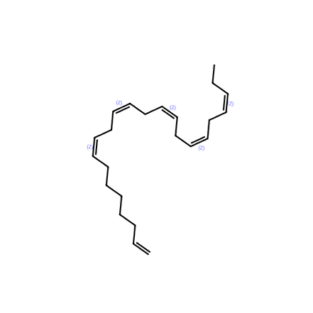 C=CCCCCC/C=C\C/C=C\C/C=C\C/C=C\C/C=C\CC